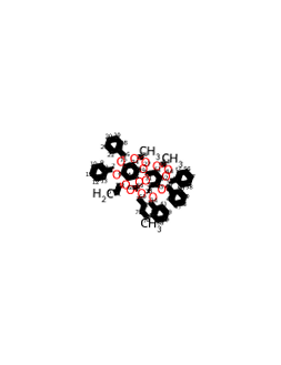 C=CCO[C@H]1[C@H](OCc2ccccc2)[C@@H](OCc2ccccc2)[C@H](OC(C)=O)[C@H](O[C@H]2O[C@H](COCc3ccccc3)[C@@H](OCc3ccccc3)[C@H](OCc3ccccc3)[C@@H]2OC(C)=O)[C@@H]1OC(=O)OCCCCC